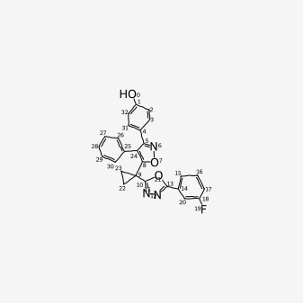 Oc1ccc(-c2noc(C3(c4nnc(-c5cccc(F)c5)o4)CC3)c2-c2ccccc2)cc1